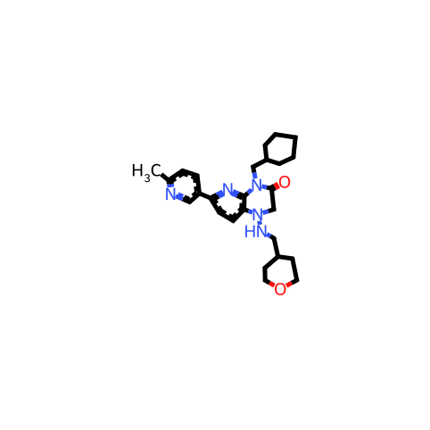 Cc1ccc(-c2ccc3c(n2)N(CC2CCCCC2)C(=O)CN3NCC2CCOCC2)cn1